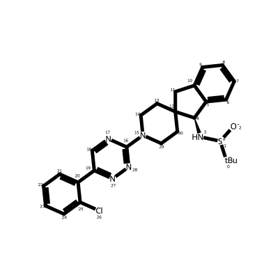 CC(C)(C)[S+]([O-])N[C@@H]1c2ccccc2CC12CCN(c1ncc(-c3ccccc3Cl)nn1)CC2